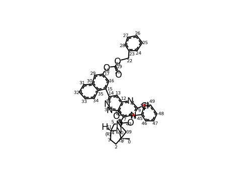 C[C@]12CC[C@H](CN(c3nc(Cl)nc4cc(-c5cc(OC(=O)OCc6ccccc6)cc6ccccc56)nnc34)C1)N2C(=O)OCc1ccccc1